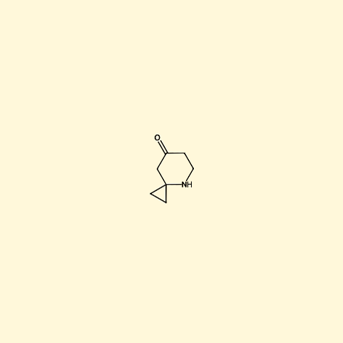 O=C1CCNC2(CC2)C1